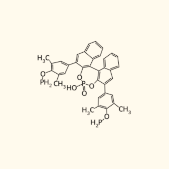 Cc1cc(-c2cc3ccccc3c3c2OP(=O)(O)Oc2c(-c4cc(C)c(OP)c(C)c4)cc4ccccc4c2-3)cc(C)c1OP